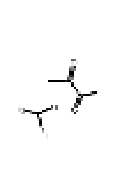 CC(=O)C(C)=O.ClC(Cl)Cl